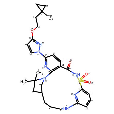 CC1(C)CC2CCCNc3cccc(n3)S(=O)(=O)NC(=O)c3ccc(-n4ccc(OCCC5(C(F)(F)F)CC5)n4)nc3N1C2